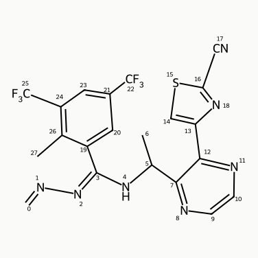 C=N/N=C(/NC(C)c1nccnc1-c1csc(C#N)n1)c1cc(C(F)(F)F)cc(C(F)(F)F)c1C